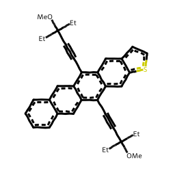 CCC(C#Cc1c2cc3ccccc3cc2c(C#CC(CC)(CC)OC)c2cc3sccc3cc12)(CC)OC